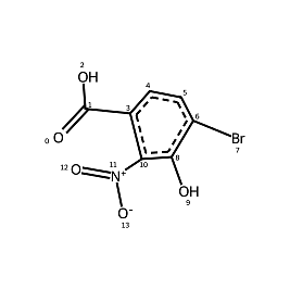 O=C(O)c1ccc(Br)c(O)c1[N+](=O)[O-]